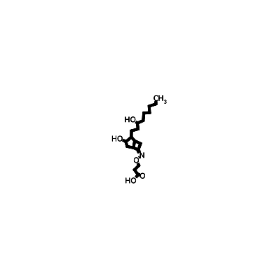 CCCCCCC(O)CCC1C(O)CC2C(=NOCCC(=O)O)CC21